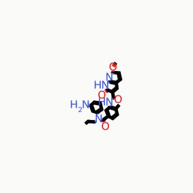 CCCN(C(=O)c1ccc(C)c(NC(=O)c2cc3ccc(OC)nc3[nH]c2=O)c1)c1cccc(N)c1